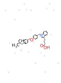 CC(C)Cc1ccc(COc2ccc(Cn3cc(CCCC(=O)O)c4ccccc43)cc2)cc1